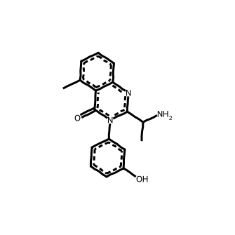 Cc1cccc2nc(C(C)N)n(-c3cccc(O)c3)c(=O)c12